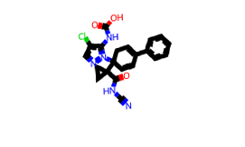 N#CNC(=O)C1(C2(n3ncc(Cl)c3NC(=O)O)C=CC(c3ccccc3)=CC2)CC1